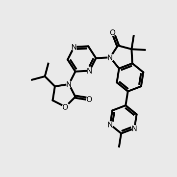 Cc1ncc(-c2ccc3c(c2)N(c2cncc(N4C(=O)OCC4C(C)C)n2)C(=O)C3(C)C)cn1